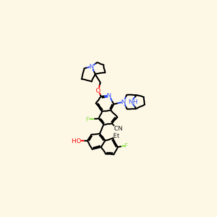 CCc1c(F)ccc2cc(O)cc(-c3c(C#N)cc4c(N5CC6CCC(C5)N6)nc(OCC56CCCN5CCC6)cc4c3F)c12